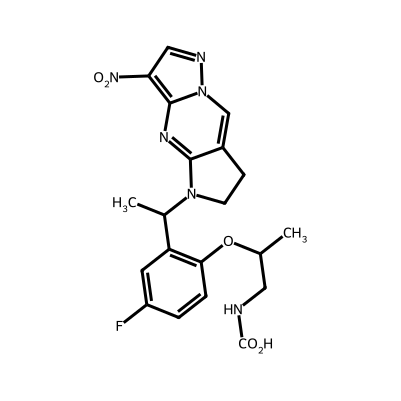 CC(CNC(=O)O)Oc1ccc(F)cc1C(C)N1CCc2cn3ncc([N+](=O)[O-])c3nc21